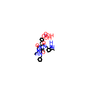 C=CCN1CC(=O)N2[C@@H](Cc3ccc(OP(=O)(O)O)cc3)C(=O)N(Cc3cccc4c(C)n[nH]c34)C[C@@H]2N1C(=O)NCc1ccccc1